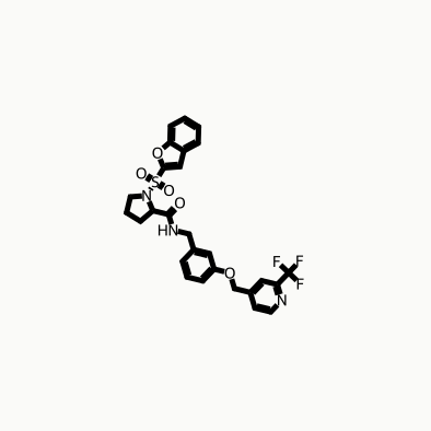 O=C(NCc1cccc(OCc2ccnc(C(F)(F)F)c2)c1)C1CCCN1S(=O)(=O)c1cc2ccccc2o1